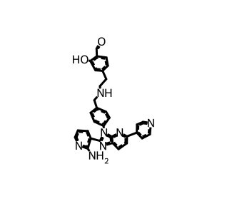 Nc1ncccc1-c1nc2ccc(-c3ccncc3)nc2n1-c1ccc(CNCCc2ccc(C=O)c(O)c2)cc1